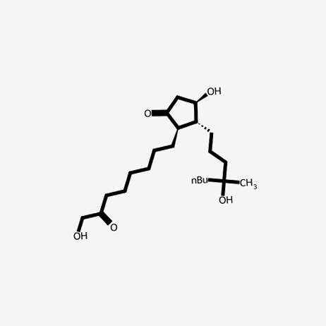 CCCCC(C)(O)CCC[C@H]1[C@H](O)CC(=O)[C@@H]1CCCCCCC(=O)CO